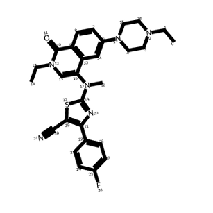 CCN1CCN(c2ccc3c(=O)n(CC)cc(N(C)c4nc(-c5ccc(F)cc5)c(C#N)s4)c3c2)CC1